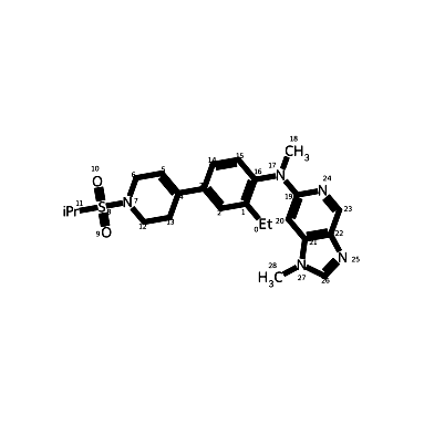 CCc1cc(C2=CCN(S(=O)(=O)C(C)C)CC2)ccc1N(C)c1cc2c(cn1)ncn2C